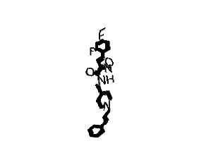 O=C(NCC1CCN(C/C=C/c2ccccc2)CC1)c1cc(-c2ccc(F)cc2F)on1